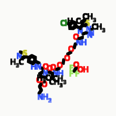 Cc1ncsc1-c1ccc(CNC(=O)[C@@H]2C[C@@H](OC(=O)CCCN)CN2C(=O)[C@@H](NC(=O)COCCOCCOCCNC(=O)C[C@@H]2N=C(c3ccc(Cl)cc3)c3c(sc(C)c3C)-n3c(C)nnc32)C(C)(C)C)cc1.O=C(O)C(F)(F)F